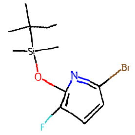 CC(C)(C)[Si](C)(C)Oc1nc(Br)ccc1F